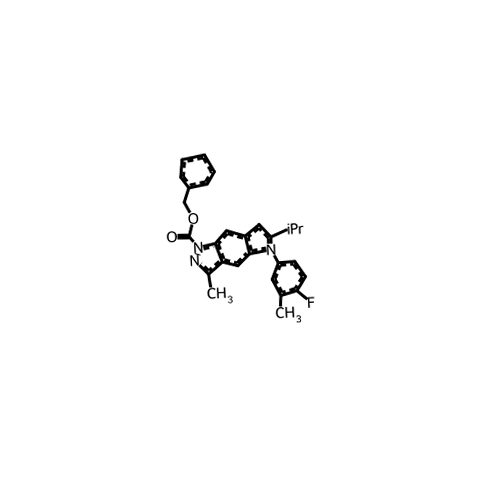 Cc1cc(-n2c(C(C)C)cc3cc4c(cc32)c(C)nn4C(=O)OCc2ccccc2)ccc1F